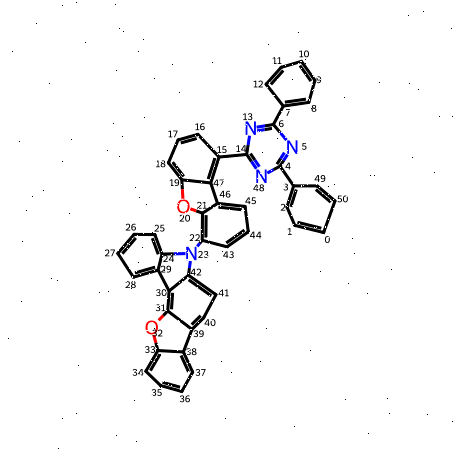 c1ccc(-c2nc(-c3ccccc3)nc(-c3cccc4oc5c(-n6c7ccccc7c7c8oc9ccccc9c8ccc76)cccc5c34)n2)cc1